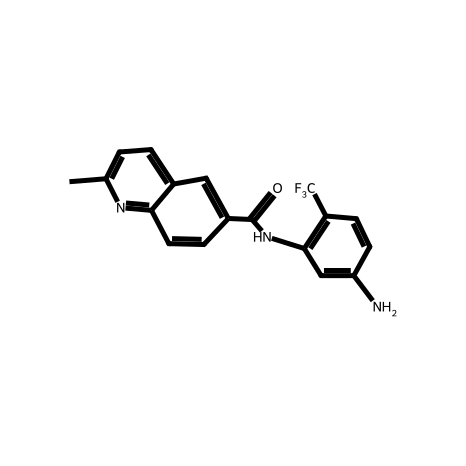 Cc1ccc2cc(C(=O)Nc3cc(N)ccc3C(F)(F)F)ccc2n1